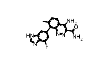 Cc1ccc2c(N)c(C(N)=O)nnc2c1-c1cc(F)c2nc[nH]c2c1